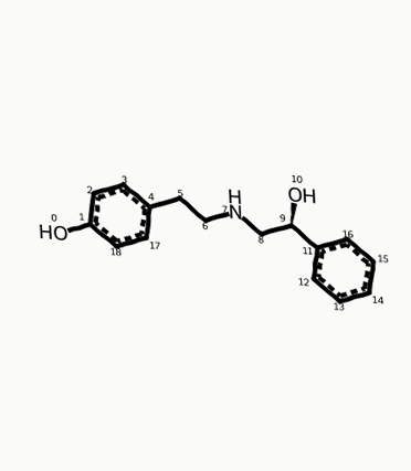 Oc1ccc(CCNC[C@@H](O)c2ccccc2)cc1